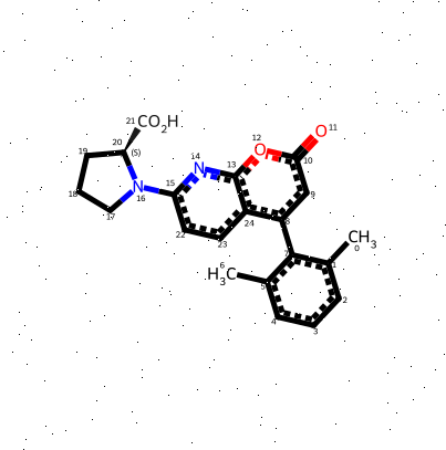 Cc1cccc(C)c1-c1cc(=O)oc2nc(N3CCC[C@H]3C(=O)O)ccc12